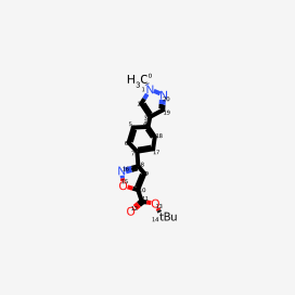 Cn1cc(-c2ccc(-c3cc(C(=O)OC(C)(C)C)on3)cc2)cn1